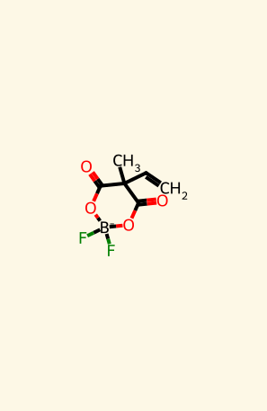 C=CC1(C)C(=O)O[B-](F)(F)OC1=O